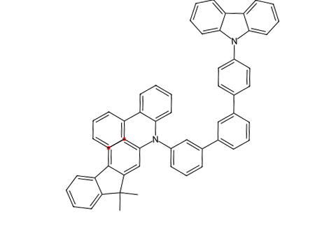 CC1(C)c2ccccc2-c2ccc(N(c3cccc(-c4cccc(-c5ccc(-n6c7ccccc7c7ccccc76)cc5)c4)c3)c3ccccc3-c3ccccc3)cc21